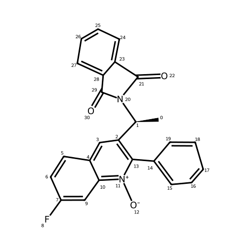 C[C@@H](c1cc2ccc(F)cc2[n+]([O-])c1-c1ccccc1)N1C(=O)c2ccccc2C1=O